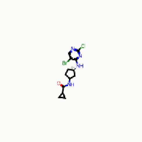 O=C(NC1CC[C@H](Nc2nc(Cl)ncc2Br)C1)C1CC1